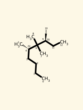 CCCC[C@H](C)C(C)(C)[C@@H](I)CC